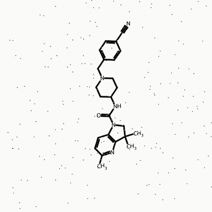 Cc1ccc2c(n1)C(C)(C)CN2C(=O)NC1CCN(Cc2ccc(C#N)cc2)CC1